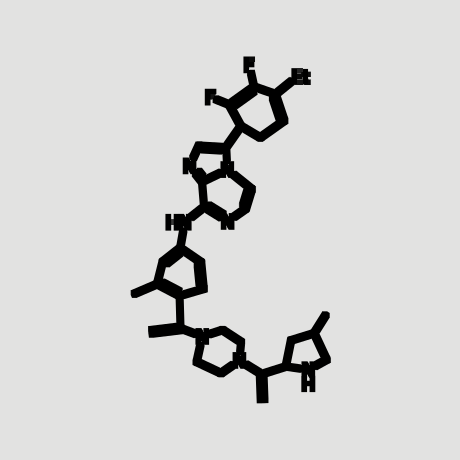 C=C(c1ccc(Nc2nccn3c(C4CC=C(CC)C(F)=C4F)cnc23)cc1C)N1CCN(C(=C)C2CC(C)CN2)CC1